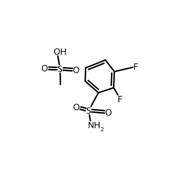 CS(=O)(=O)O.NS(=O)(=O)c1cccc(F)c1F